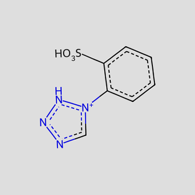 O=S(=O)(O)c1ccccc1-[n+]1cnn[nH]1